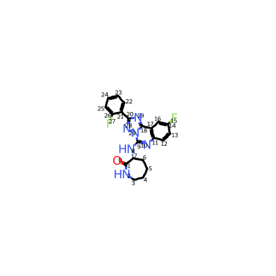 O=C1NCCCC[C@H]1Nc1nc2ccc(F)cc2c2nc(-c3ccccc3F)nn12